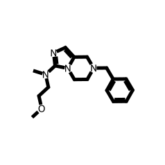 COCCN(C)c1ncc2n1CCN(Cc1ccccc1)C2